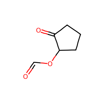 O=COC1CCCC1=O